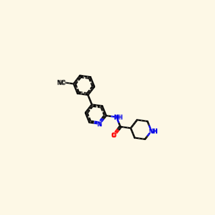 N#Cc1cccc(-c2ccnc(NC(=O)C3CCNCC3)c2)c1